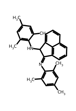 Cc1cc(C)c(/N=C2\c3cccc4cccc(c34)C2Nc2c(C)cc(C)cc2C)c(C)c1